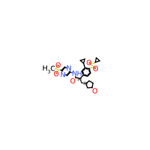 CS(=O)(=O)c1cnc(NC(=O)[C@H](C[C@H]2CCC(=O)C2)c2ccc(S(=O)(=O)C3CC3)c(C3CC3)c2)cn1